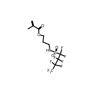 C=C(C)C(=O)OCCCNS(=O)(=O)C(F)(F)C(F)(F)C(F)(F)C(F)(F)F